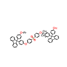 CC(C)Oc1ccc(C2(c3ccc(Oc4ccc(S(=O)(=O)c5ccc(OC(C)(C)c6ccc(C7(c8ccc(O)cc8)c8ccccc8-c8ccccc87)cc6)cc5)cc4)cc3)c3ccccc3-c3ccccc32)cc1